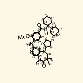 COc1cc(C(=O)NC2(N3CCOCC3)CCCCC2)ccc1Nc1ncc2c(n1)N(C1CCCC1)CC(C)(C)C(=O)N2C